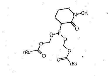 CC(C)(C)C(=O)OCOP(OCOC(=O)C(C)(C)C)C1CCCN(O)C1=O